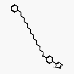 c1ccc(CCCCCCCCCCCCCCCOc2ccc(-c3nnn[nH]3)cc2)cc1